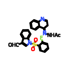 CC(=O)NN=C1CC=Nc2ccccc21.O=Cc1cn(S(=O)(=O)c2ccccc2F)c2ccccc12